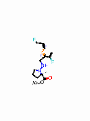 C=C(F)/C(CNN1CCC[C@]1(C)C(=O)OC)=P\C=C/CF